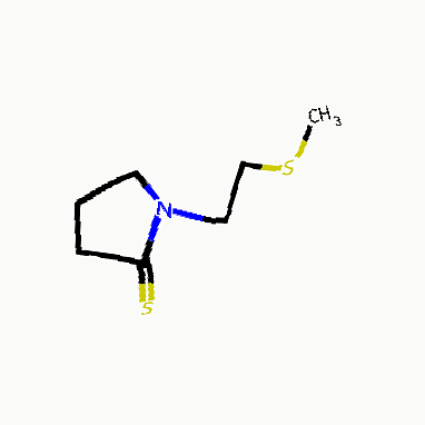 CSCCN1CCCC1=S